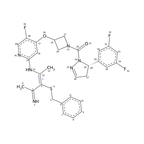 CC(=N)/C(SCc1ccccc1)=C(/C)Nc1cc(OC2CN(C(=O)N3N=CC[C@H]3c3cc(F)cc(F)c3)C2)c(F)cn1